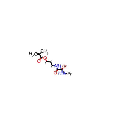 C=C(C)C(=O)OCCCNC(=O)C(=O)NC(C)C